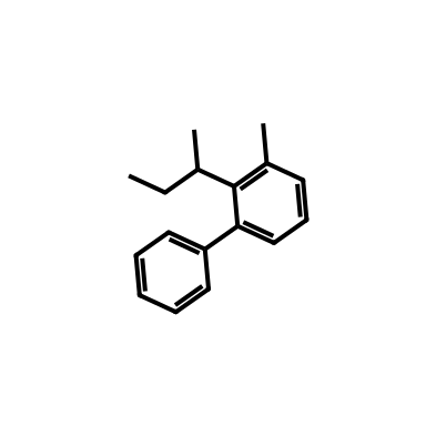 CCC(C)c1c(C)cccc1-c1ccccc1